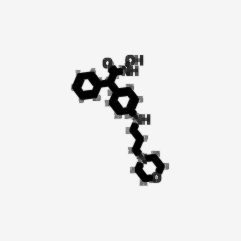 O=C(NO)C(c1ccccc1)c1ccc(NCCCN2CCOCC2)cc1